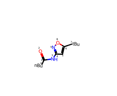 CCCCC(=O)Nc1cc(C(C)(C)C)on1